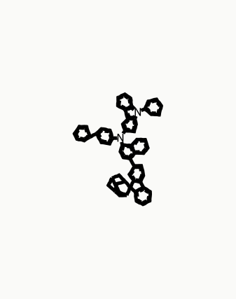 c1ccc(-c2ccc(N(c3ccc4c(c3)c3ccccc3n4-c3ccccc3)c3ccc(-c4ccc5c(c4)C4(c6ccccc6-5)C5CC6CC(C5)CC4C6)c4ccccc34)cc2)cc1